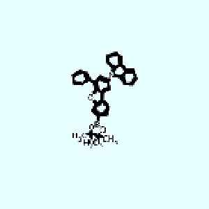 CC1(C)OB(c2ccc3c(c2)oc2c(-c4ccccc4)cc(-n4c5ccccc5c5ccccc54)cc23)OC1(C)C